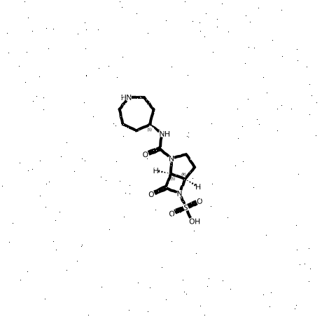 O=C(N[C@H]1CCCNCC1)N1CC[C@@H]2[C@H]1C(=O)N2S(=O)(=O)O